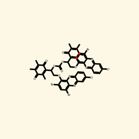 CC1=C(C)C(=O)C(C(COc2c(Br)cc(Br)c3nc4cc(Cl)ccc4nc23)OC(=O)OC(COc2c(Br)cc(Br)c3nc4cc(Cl)ccc4nc23)C2=C(C)C(=O)C(C)=C(C)C2=O)=C(C)C1=O